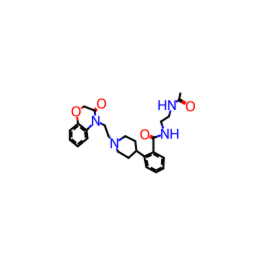 CC(=O)NCCNC(=O)c1ccccc1C1CCN(CCN2C(=O)COc3ccccc32)CC1